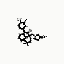 CC1(C)CNC(CN2CCC(O)C2)(C(=O)Cc2ccc(Cl)c(Cl)c2)c2ccccc21